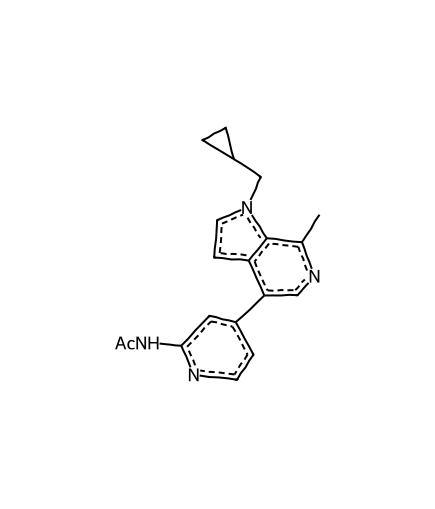 CC(=O)Nc1cc(-c2cnc(C)c3c2ccn3CC2CC2)ccn1